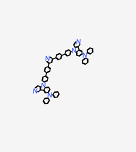 c1ccc(N(c2ccccc2)c2ccc3c(c2)c2cnccc2n3-c2ccc(-c3ccc(-c4cncc(-c5ccc(-c6ccc(-n7c8ccncc8c8cc(N(c9ccccc9)c9ccccc9)ccc87)cc6)cc5)c4)cc3)cc2)cc1